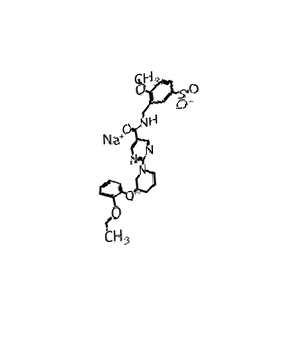 CCOc1ccccc1O[C@@H]1CCCN(c2ncc(C(=O)NCc3cc(S(=O)[O-])ccc3OC)cn2)C1.[Na+]